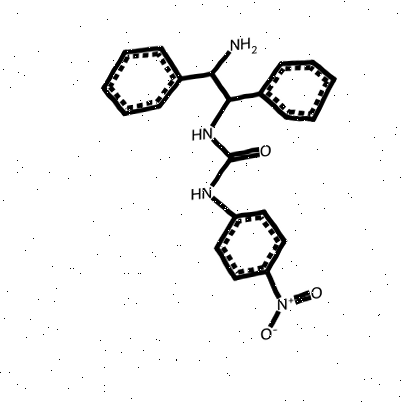 NC(c1ccccc1)C(NC(=O)Nc1ccc([N+](=O)[O-])cc1)c1ccccc1